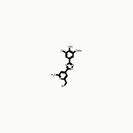 COc1cc(-c2noc(-c3cc(C)nc(CC(C)C)c3)n2)cc(Cl)c1O